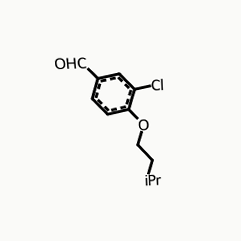 CC(C)CCOc1ccc(C=O)cc1Cl